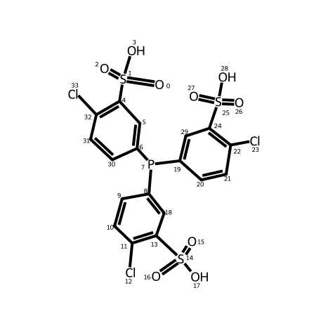 O=S(=O)(O)c1cc(P(c2ccc(Cl)c(S(=O)(=O)O)c2)c2ccc(Cl)c(S(=O)(=O)O)c2)ccc1Cl